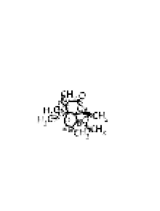 C=C[C@@]1(C)CC(=O)OC2(C#CC)C(OCC)C(C)CC[C@@]21OCC